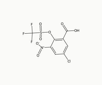 O=C(O)c1cc(Cl)cc([N+](=O)[O-])c1OS(=O)(=O)C(F)(F)F